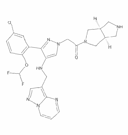 O=C(Cn1cc(NCc2cnn3cccnc23)c(-c2cc(Cl)ccc2OC(F)F)n1)N1C[C@H]2CNC[C@H]2C1